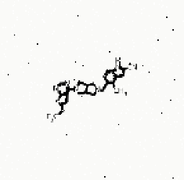 Cc1c(CN2CC3CN(c4ncnc5sc(CC(F)(F)F)cc45)CC3C2)ccc2[nH]c(C#N)cc12